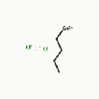 CCC[CH2][Ge+3].[Cl-].[Cl-].[Cl-]